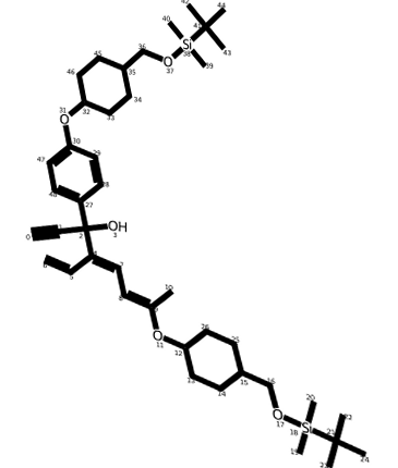 C#CC(O)(/C(C=C)=C/C=C(\C)OC1CCC(CO[Si](C)(C)C(C)(C)C)CC1)c1ccc(OC2CCC(CO[Si](C)(C)C(C)(C)C)CC2)cc1